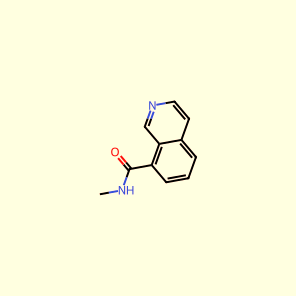 CNC(=O)c1cccc2ccncc12